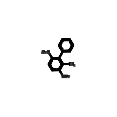 COc1ccc(OC)c(-c2ccccc2)c1C